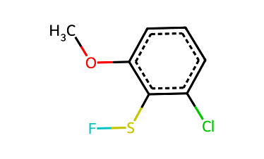 COc1cccc(Cl)c1SF